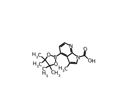 Cc1cn(C(=O)O)c2nccc(B3OC(C)(C)C(C)(C)O3)c12